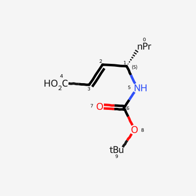 CCC[C@@H](C=CC(=O)O)NC(=O)OC(C)(C)C